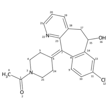 CC(=O)N1CCC(=C2c3ccc(Cl)cc3C(O)Cc3cccnc32)CC1